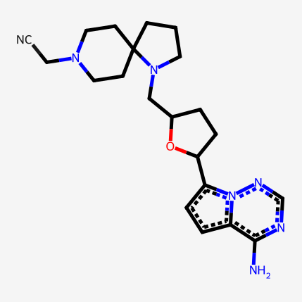 N#CCN1CCC2(CCCN2CC2CCC(c3ccc4c(N)ncnn34)O2)CC1